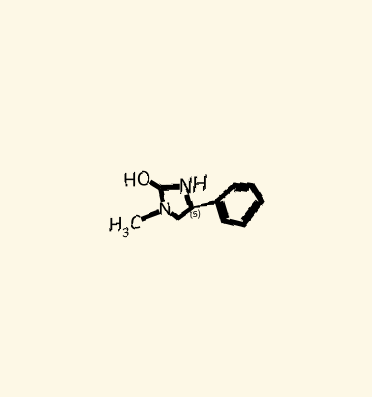 CN1C[C@H](c2ccccc2)NC1O